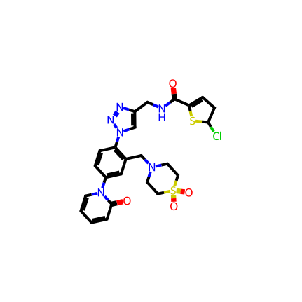 O=C(NCc1cn(-c2ccc(-n3ccccc3=O)cc2CN2CCS(=O)(=O)CC2)nn1)C1=CCC(Cl)S1